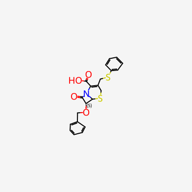 O=C(O)C1=C(CSc2ccccc2)CSC2[C@@H](OCc3ccccc3)C(=O)N12